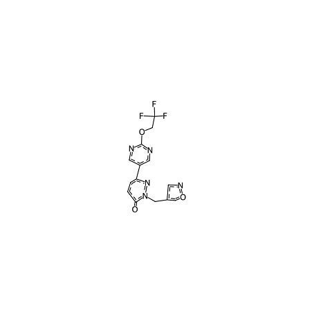 O=c1ccc(-c2cnc(OCC(F)(F)F)nc2)nn1Cc1cnoc1